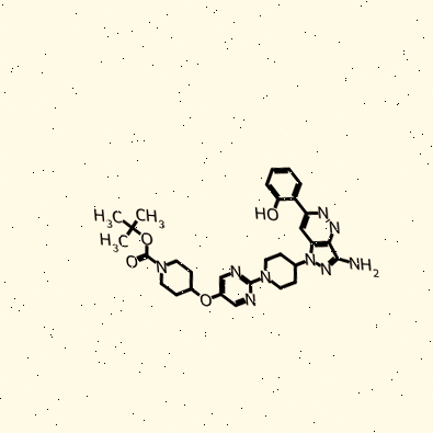 CC(C)(C)OC(=O)N1CCC(Oc2cnc(N3CCC(n4nc(N)c5nnc(-c6ccccc6O)cc54)CC3)nc2)CC1